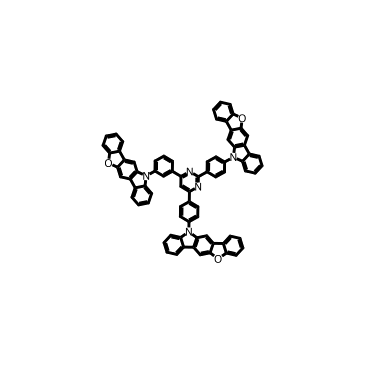 c1cc(-c2cc(-c3ccc(-n4c5ccccc5c5cc6oc7ccccc7c6cc54)cc3)nc(-c3ccc(-n4c5ccccc5c5cc6oc7ccccc7c6cc54)cc3)n2)cc(-n2c3ccccc3c3cc4oc5ccccc5c4cc32)c1